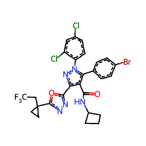 O=C(NC1CCC1)c1c(-c2nnc(C3(CC(F)(F)F)CC3)o2)nn(-c2ccc(Cl)cc2Cl)c1-c1ccc(Br)cc1